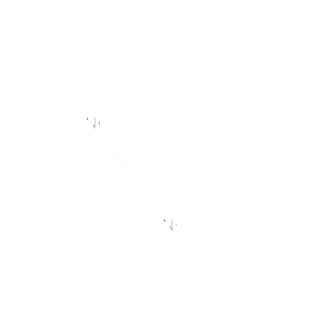 N#Cc1ccccc1-c1ccoc1-c1ccccc1C#N